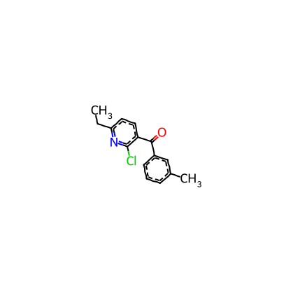 CCc1ccc(C(=O)c2cccc(C)c2)c(Cl)n1